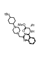 COC(=O)[C@@H](Nc1nc(CN2CCN(C3CCC(C(C)(C)C)CC3)CC2)nc2ccccc12)C(C)C